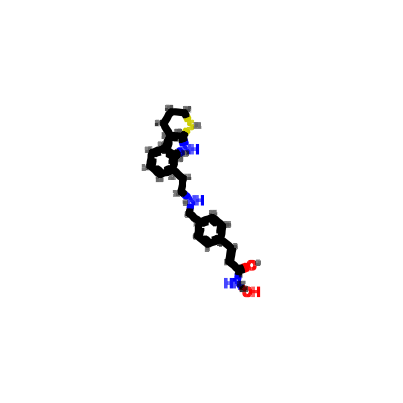 O=C(/C=C/c1ccc(CNCCc2cccc3c4c([nH]c23)SCCC4)cc1)NO